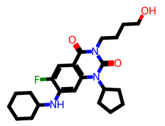 O=c1c2cc(F)c(NC3CCCCC3)cc2n(C2CCCC2)c(=O)n1CCCCO